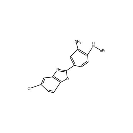 CCCNc1ccc(-c2nc3cc(Cl)ccc3o2)cc1N